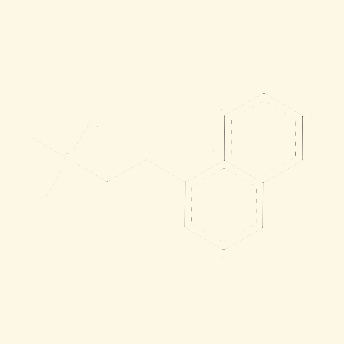 C[Si](C)(C)CCc1cccc2ccccc12